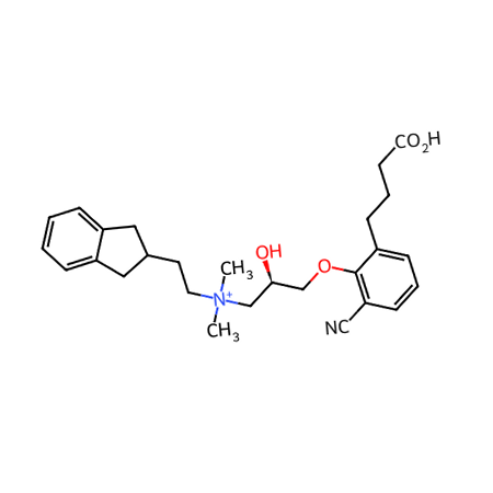 C[N+](C)(CCC1Cc2ccccc2C1)C[C@@H](O)COc1c(C#N)cccc1CCCC(=O)O